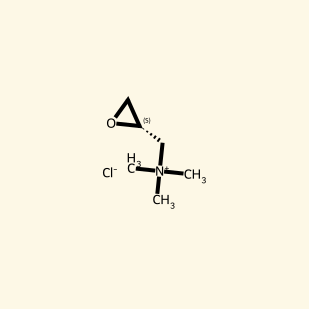 C[N+](C)(C)C[C@H]1CO1.[Cl-]